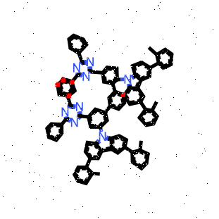 Cc1ccccc1-c1ccc2c(c1)c1cc(-c3ccccc3C)ccc1n2-c1cc(-c2cccc(-c3cc(-c4nc(-c5ccccc5)nc(-c5ccccc5)n4)ccc3-n3c4ccc(-c5ccccc5C)cc4c4cc(-c5ccccc5C)ccc43)c2)cc(-c2nc(-c3ccccc3)nc(-c3ccccc3)n2)c1